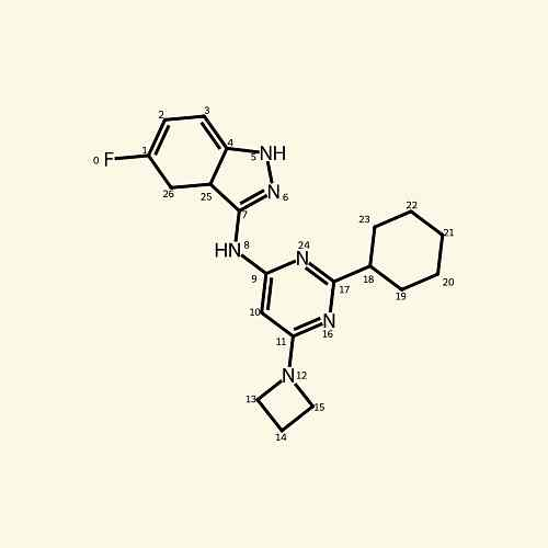 FC1=CC=C2NN=C(Nc3cc(N4CCC4)nc(C4CCCCC4)n3)C2C1